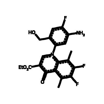 CCOC(=O)c1cn(-c2cc(N)c(F)cc2CO)c2c(C)c(F)c(F)c(C)c2c1=O